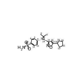 CC1(C)[C@@H](c2ccc(S(N)(=O)=O)cc2)[C@@H]1c1cc(C2CCCC2)on1